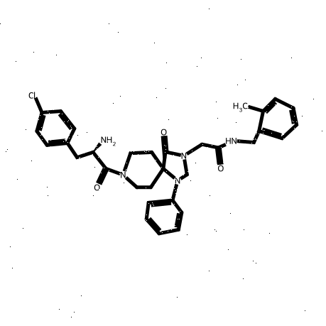 Cc1ccccc1CNC(=O)CN1CN(c2ccccc2)C2(CCN(C(=O)[C@H](N)Cc3ccc(Cl)cc3)CC2)C1=O